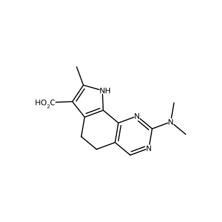 Cc1[nH]c2c(c1C(=O)O)CCc1cnc(N(C)C)nc1-2